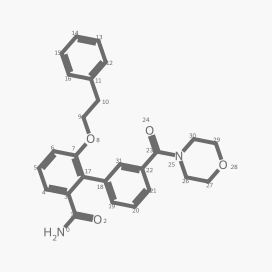 NC(=O)c1cccc(OCCc2ccccc2)c1-c1cccc(C(=O)N2CCOCC2)c1